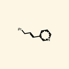 CC(C)CC=Cc1cccnc1